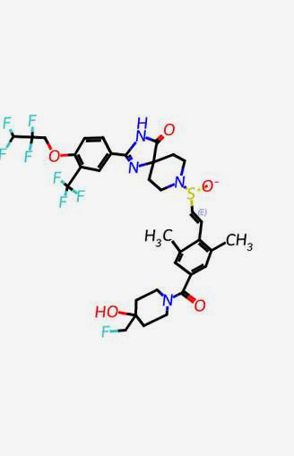 Cc1cc(C(=O)N2CCC(O)(CF)CC2)cc(C)c1/C=C/[S+]([O-])N1CCC2(CC1)N=C(c1ccc(OCC(F)(F)C(F)F)c(C(F)(F)F)c1)NC2=O